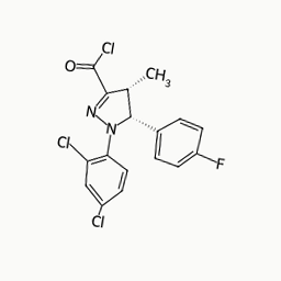 C[C@H]1C(C(=O)Cl)=NN(c2ccc(Cl)cc2Cl)[C@H]1c1ccc(F)cc1